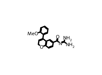 COc1ccccc1C1=CCOc2ccc(C(=O)N=C(N)N)cc21